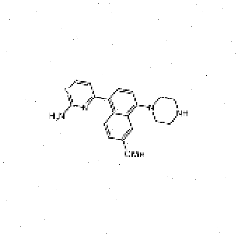 COc1ccc2c(-c3ccnc(N)n3)ccc(N3CCNCC3)c2c1